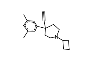 C#CC1(c2cc(C)cc(C)c2)CCN(C2CCC2)CC1